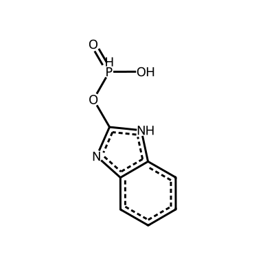 O=[PH](O)Oc1nc2ccccc2[nH]1